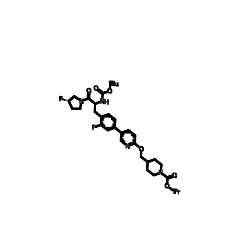 CC(C)OC(=O)N1CCC(COc2ccc(-c3ccc(C[C@H](NC(=O)OC(C)(C)C)C(=O)N4CC[C@H](F)C4)c(F)c3)cn2)CC1